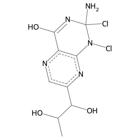 CC(O)C(O)c1cnc2c(n1)N(Cl)C(N)(Cl)N=C2O